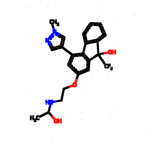 CC(O)NCCOc1cc(-c2cnn(C)c2)c2c(c1)C(O)(C(F)(F)F)c1ccccc1-2